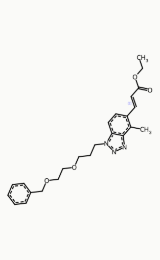 CCOC(=O)/C=C/c1ccc2c(nnn2CCCOCCOCc2ccccc2)c1C